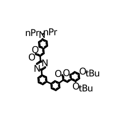 CCCN(CCC)c1ccc2cc(-c3cnc(-c4cccc(-c5cccc(-c6cc7c(OC(C)(C)C)cc(OC(C)(C)C)cc7oc6=O)c5)c4)cn3)c(=O)oc2c1